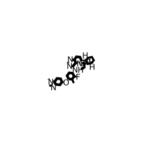 C=CC(=O)N1[C@@H]2CC[C@H]1[C@H](c1ccc3ncnc(Nc4ccc(Oc5ccc6c(c5)ncn6C)c(C)c4F)c3n1)C2